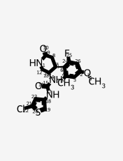 COc1cc(C)c([C@@H]2CC(=O)NC[C@H]2NC(=O)Nc2csc(Cl)c2)c(F)c1